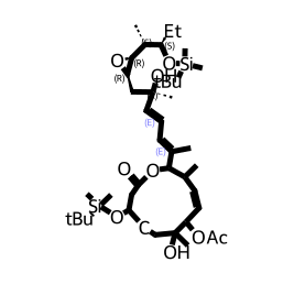 CC[C@H](O[Si](C)(C)C(C)(C)C)[C@@H](C)[C@H]1O[C@@H]1C[C@@](C)(O)/C=C/C=C(\C)C1OC(=O)CC(O[Si](C)(C)C(C)(C)C)CCC(C)(O)C(OC(C)=O)C=CC1C